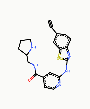 C#Cc1ccc2nc(Nc3cc(C(=O)NCC4CCCN4)ccn3)sc2c1